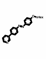 CCCCCCOc1ccc(/N=N/c2ccc(-c3cccnc3)cc2)cc1